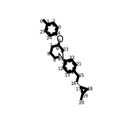 Cc1ccc(OC2CCCN(c3ccc(CC[C@@H]4CC4C)cc3)C2)cc1